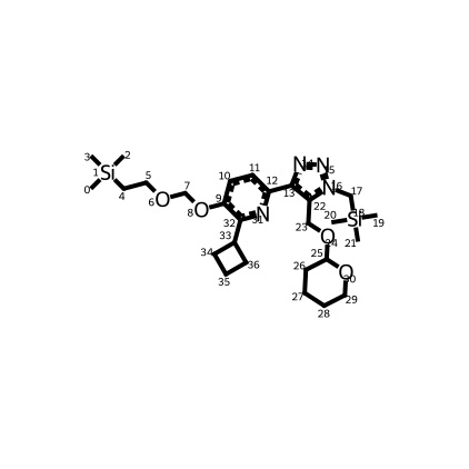 C[Si](C)(C)CCOCOc1ccc(-c2nnn(C[Si](C)(C)C)c2COC2CCCCO2)nc1C1CCC1